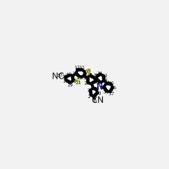 N#Cc1ccc(-c2ccc3sc4ccc5c6cc(C#N)ccc6sc5c4c3c2)c(-n2c3ccccc3c3ccccc32)c1